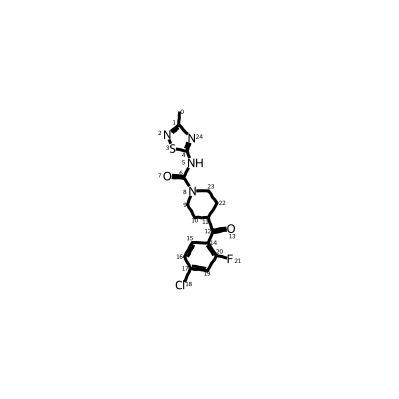 Cc1nsc(NC(=O)N2CCC(C(=O)c3ccc(Cl)cc3F)CC2)n1